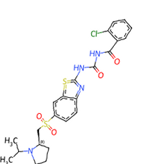 CC(C)N1CCC[C@@H]1CS(=O)(=O)c1ccc2nc(NC(=O)NC(=O)c3ccccc3Cl)sc2c1